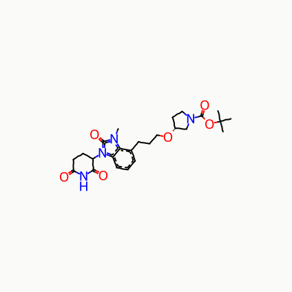 Cn1c(=O)n(C2CCC(=O)NC2=O)c2cccc(CCCO[C@@H]3CCN(C(=O)OC(C)(C)C)C3)c21